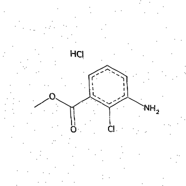 COC(=O)c1cccc(N)c1Cl.Cl